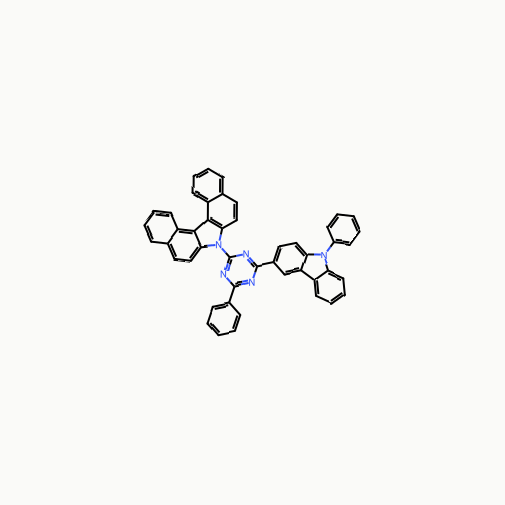 c1ccc(-c2nc(-c3ccc4c(c3)c3ccccc3n4-c3ccccc3)nc(-n3c4ccc5ccccc5c4c4c5ccccc5ccc43)n2)cc1